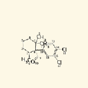 C[C@H]1CCCC(C)(C)[C@@]1(C=O)c1ccc(Cl)c(Cl)c1